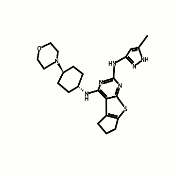 Cc1cc(Nc2nc(N[C@H]3CC[C@H](N4CCOCC4)CC3)c3c4c(sc3n2)CCC4)n[nH]1